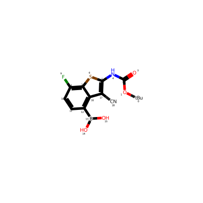 CC(C)(C)OC(=O)Nc1sc2c(F)ccc(B(O)O)c2c1C#N